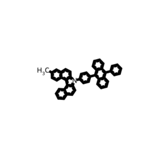 Cc1ccc2c(ccc3c2c2c4ccccc4ccc2n3-c2ccc(-c3c4ccccc4c(-c4ccccc4)c4ccccc34)cc2)c1